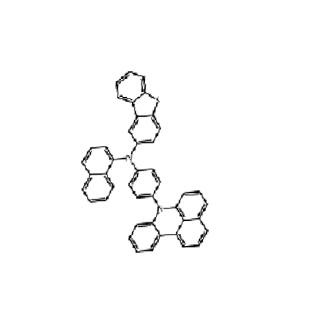 c1ccc2c(c1)-c1cccc3cccc(c13)N2c1ccc(N(c2ccc3sc4ccccc4c3c2)c2cccc3ccccc23)cc1